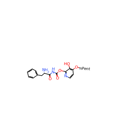 CCCCCOc1ccnc(OC(=O)NC(=O)[C@@H](N)Cc2ccccc2)c1O